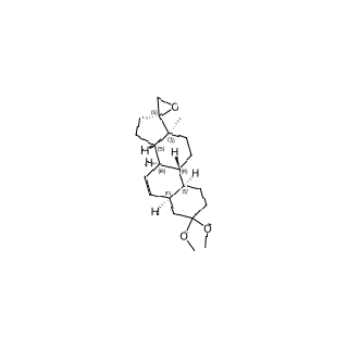 COC1(OC)CC[C@H]2[C@H](CC[C@@H]3[C@@H]2CC[C@@]2(C)[C@H]3CC[C@@]23CO3)C1